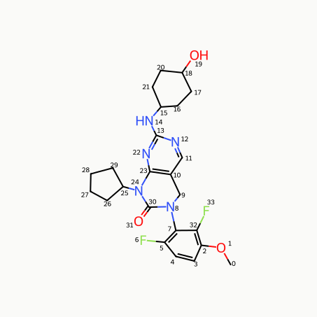 COc1ccc(F)c(N2Cc3cnc(NC4CCC(O)CC4)nc3N(C3CCCC3)C2=O)c1F